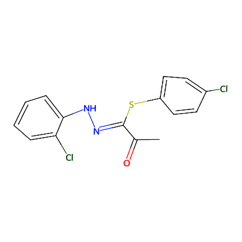 CC(=O)C(=NNc1ccccc1Cl)Sc1ccc(Cl)cc1